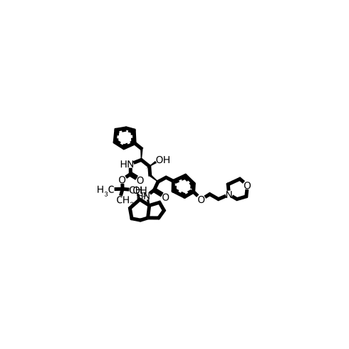 CC(C)(C)OC(=O)N[C@@H](Cc1ccccc1)[C@@H](O)C[C@@H](Cc1ccc(OCCN2CCOCC2)cc1)C(=O)N[C@@]12CCCC1CCC[C@H]2O